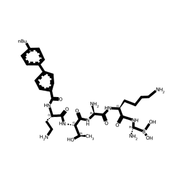 CCCCc1ccc(-c2ccc(C(=O)N[C@@H](CCN)C(=O)N[C@H](C(=O)N[C@@H](N)C(=O)N[C@@H](CCCCN)C(=O)N[C@@H](N)B(O)O)[C@@H](C)O)cc2)cc1